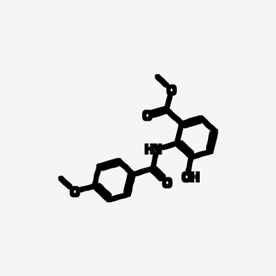 COC(=O)c1cccc(O)c1NC(=O)c1ccc(OC)cc1